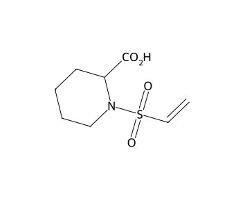 C=CS(=O)(=O)N1CCCCC1C(=O)O